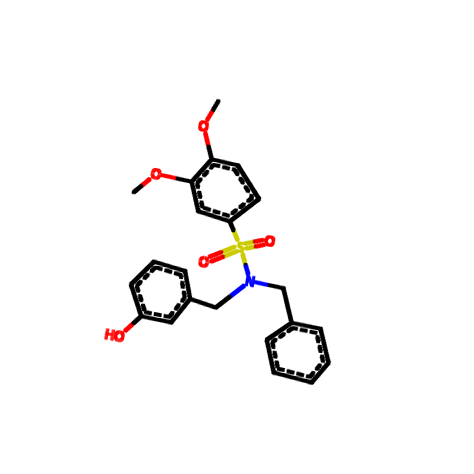 COc1ccc(S(=O)(=O)N(Cc2ccccc2)Cc2cccc(O)c2)cc1OC